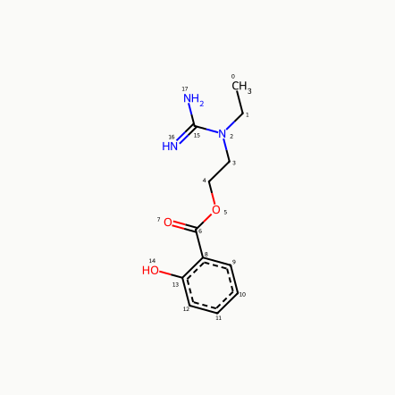 CCN(CCOC(=O)c1ccccc1O)C(=N)N